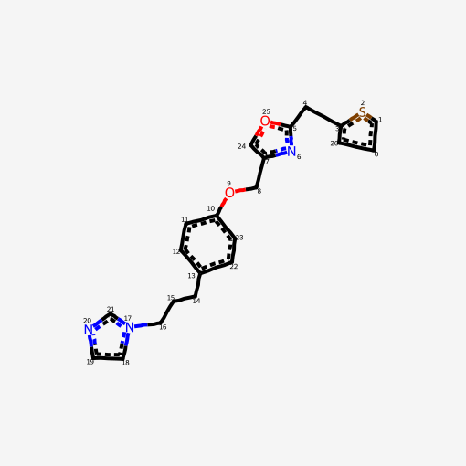 c1csc(Cc2nc(COc3ccc(CCCn4ccnc4)cc3)co2)c1